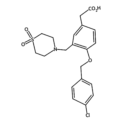 O=C(O)Cc1ccc(OCc2ccc(Cl)cc2)c(CN2CCS(=O)(=O)CC2)c1